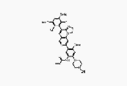 C=CC(=O)Nc1cc(-c2cc3c(cn2)C=C(c2c(Cl)c(OC)cc(OC)c2Cl)C2=NCCN23)c(OC)cc1N1CCN(C#N)CC1